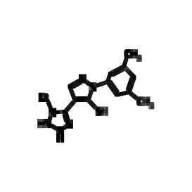 CCN1NNN=C1c1cnn(-c2cc(C)cc(C)c2)c1S